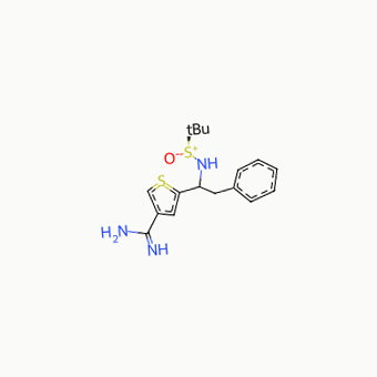 CC(C)(C)[S@+]([O-])NC(Cc1ccccc1)c1cc(C(=N)N)cs1